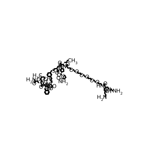 CCCC[C@H](NC(=O)CCOCCOCCOCCOCCOCCOCCNC(=O)C(CNCCN)CNCCN)C(=O)N=CC(CSCc1cccc(CSC[C@H](NC(=O)[C@H](Cc2ccccc2)NC(=O)[C@H](CCC(N)=O)NC(=O)[C@@H](C)CC)C(=O)O)c1)C(=O)N1CCC[C@H]1C(=O)N1CCC[C@H]1C(N)=O